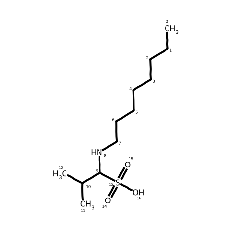 CCCCCCCCNC(C(C)C)S(=O)(=O)O